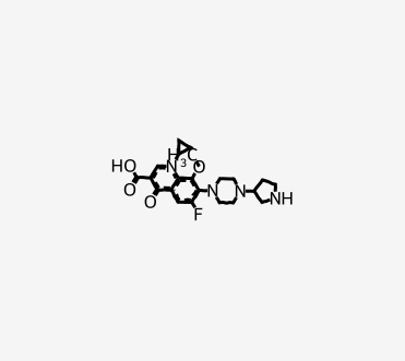 COc1c(N2CCN(C3CCNC3)CC2)c(F)cc2c(=O)c(C(=O)O)cn(C3CC3)c12